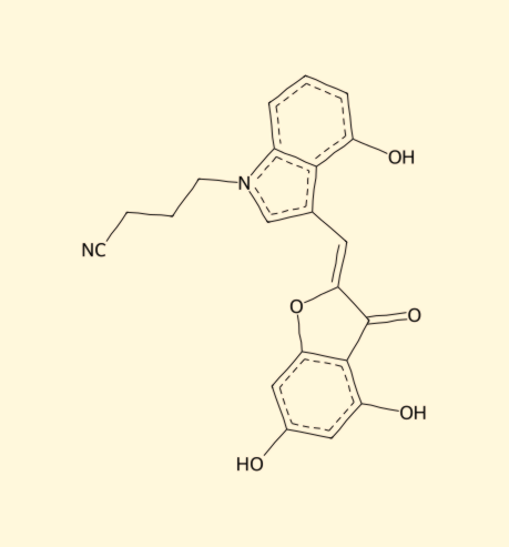 N#CCCCn1cc(C=C2Oc3cc(O)cc(O)c3C2=O)c2c(O)cccc21